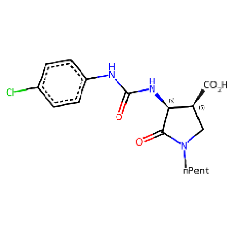 CCCCCN1C[C@H](C(=O)O)[C@H](NC(=O)Nc2ccc(Cl)cc2)C1=O